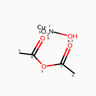 CC(=O)OC(C)=O.O=[N+]([O-])O.[Cu]